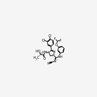 C[C@H](O)C(=O)NN1CN(/C(=N\C#N)Nc2cccc(OC(F)F)c2)N=C1c1ccc(Cl)c(Cl)c1